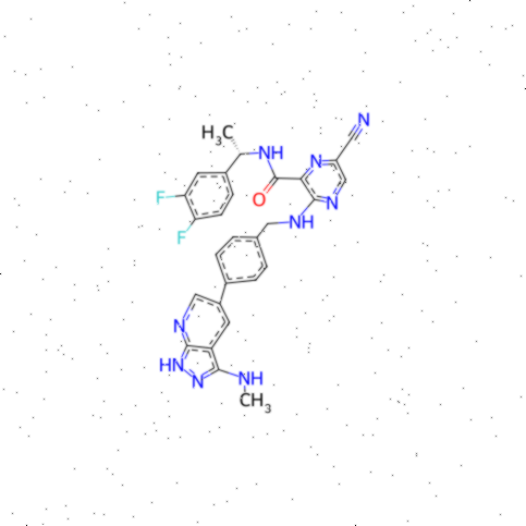 CNc1n[nH]c2ncc(-c3ccc(CNc4ncc(C#N)nc4C(=O)N[C@@H](C)c4ccc(F)c(F)c4)cc3)cc12